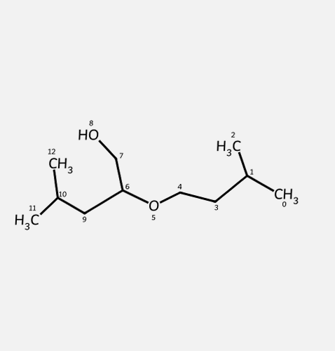 CC(C)CCOC(CO)CC(C)C